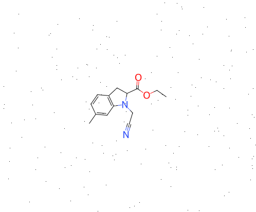 CCOC(=O)C1Cc2ccc(C)cc2N1CC#N